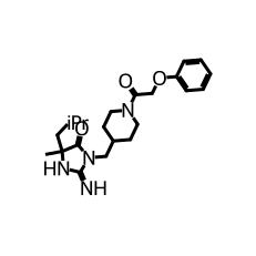 CC(C)CC1(C)NC(=N)N(CC2CCN(C(=O)COc3ccccc3)CC2)C1=O